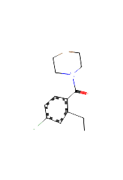 CCc1cc(Br)ccc1C(=O)N1CCSCC1